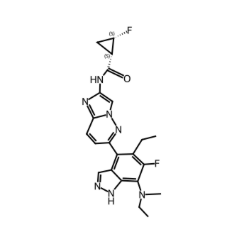 CCc1c(F)c(N(C)CC)c2[nH]ncc2c1-c1ccc2nc(NC(=O)[C@@H]3C[C@@H]3F)cn2n1